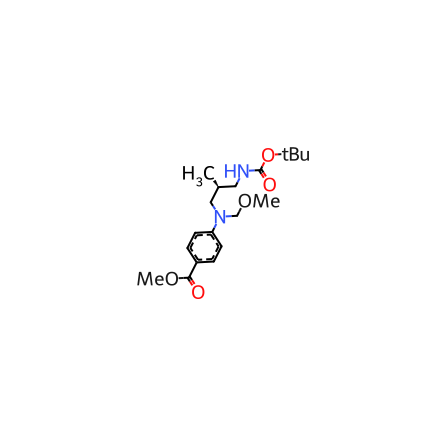 COCN(C[C@@H](C)CNC(=O)OC(C)(C)C)c1ccc(C(=O)OC)cc1